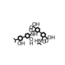 CC(C)NC(=O)c1cc(-c2ccc(C(=O)O)c(C(=O)Nc3ccc(-c4ccc(C(C)C)c(O)c4)cc3O)c2)ccc1C(=O)O